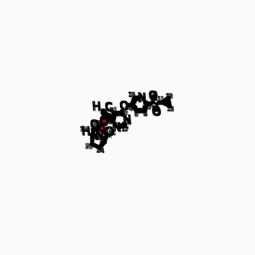 Cc1c(Oc2ccc(S(=O)(=O)C3CC3)nc2)ncnc1O[C@H]1CC2CC[C@@H](C1)N2S(=O)(=O)C1CC1